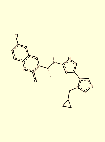 C[C@@H](Nc1ncc(-c2cncn2CC2CC2)s1)c1cc2cc(Cl)ccc2[nH]c1=O